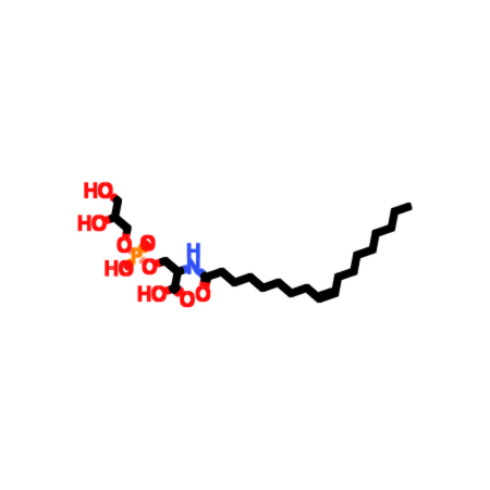 CCCCCCCC/C=C\CCCCCCCC(=O)NC(COP(=O)(O)OCC(O)CO)C(=O)O